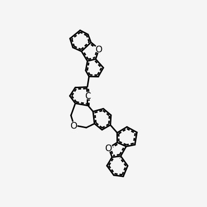 c1ccc2c(c1)oc1ccc(-c3ccc4c(c3)-c3ccc(-c5cccc6c5oc5ccccc56)cc3COC4)cc12